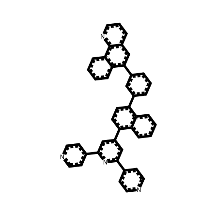 c1cc(-c2ccc(-c3cc(-c4ccncc4)nc(-c4ccncc4)c3)c3ccccc23)cc(-c2cc3cccnc3c3ccccc23)c1